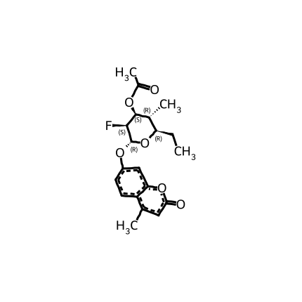 CC[C@H]1O[C@H](Oc2ccc3c(C)cc(=O)oc3c2)[C@@H](F)[C@@H](OC(C)=O)[C@@H]1C